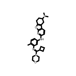 Cc1ccc(Nc2ccc3c4c(oc3n2)CCC(N(C)C)C4)cc1/N=C(\C1CCC1)N1CCOCC1